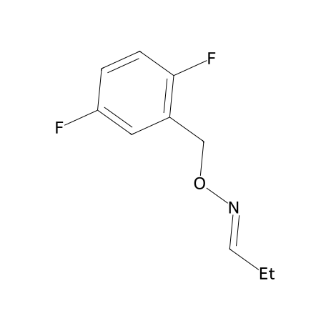 CCC=NOCc1cc(F)ccc1F